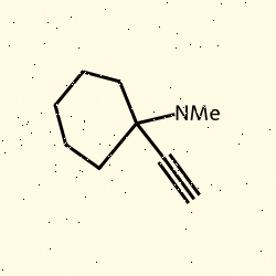 C#CC1(NC)CCCCC1